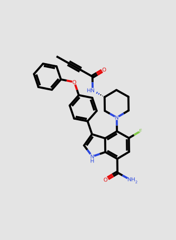 CC#CC(=O)N[C@@H]1CCCN(c2c(F)cc(C(N)=O)c3[nH]cc(-c4ccc(Oc5ccccc5)cc4)c23)C1